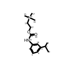 CC(C)c1cccc(NC(=O)OCC[N+](C)(C)C)c1